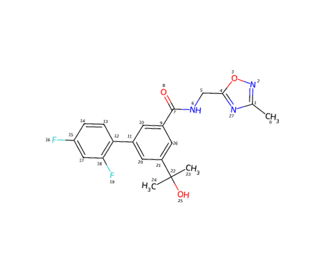 Cc1noc(CNC(=O)c2cc(-c3ccc(F)cc3F)cc(C(C)(C)O)c2)n1